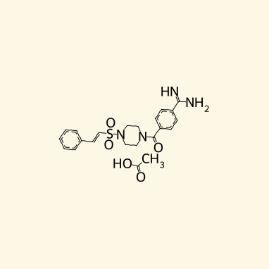 CC(=O)O.N=C(N)c1ccc(C(=O)N2CCN(S(=O)(=O)C=Cc3ccccc3)CC2)cc1